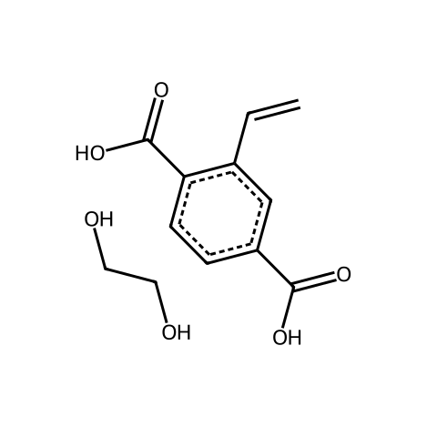 C=Cc1cc(C(=O)O)ccc1C(=O)O.OCCO